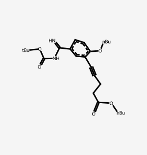 CCCCOC(=O)CCC#Cc1cc(C(=N)NC(=O)OC(C)(C)C)ccc1OCCCC